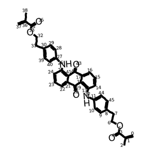 C=C(C)C(=O)OCCc1ccc(Nc2cccc3c2C(=O)c2cccc(Nc4ccc(CCOC(=O)C(=C)C)cc4)c2C3=O)cc1